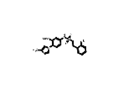 COc1cc(NS(=O)(=O)CCc2ccccc2C)ccc1-n1cnc(C)c1